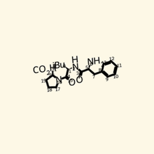 CC[C@H](C)[C@H](NC(=O)[C@@H](N)Cc1ccccc1)C(=O)N1CCC[C@H]1C(=O)O